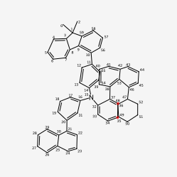 CC1(C)c2ccccc2-c2c(-c3ccc(N(c4cccc(-c5cccc6ccccc56)c4)c4ccccc4-c4cccc5cccc(C6CCCCC6)c45)cc3)cccc21